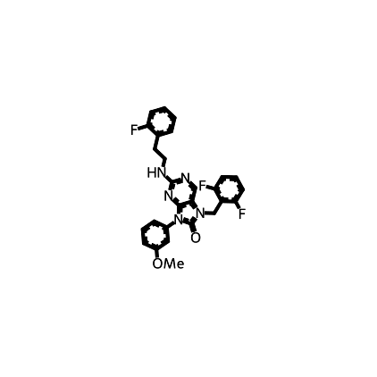 COc1cccc(-n2c(=O)n(Cc3c(F)cccc3F)c3cnc(NCCc4ccccc4F)nc32)c1